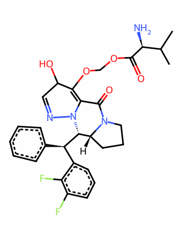 CC(C)[C@H](N)C(=O)OCOC1=C2C(=O)N3CCC[C@@H]3[C@H]([C@H](c3ccccc3)c3cccc(F)c3F)N2N=CC1O